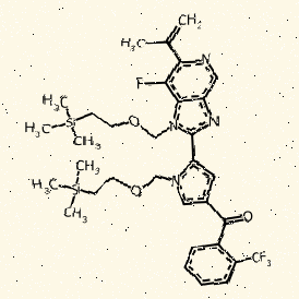 C=C(C)c1ncc2nc(-c3cc(C(=O)c4ccccc4C(F)(F)F)cn3COCC[Si](C)(C)C)n(COCC[Si](C)(C)C)c2c1F